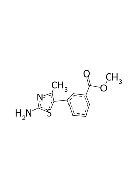 COC(=O)c1cccc(-c2sc(N)nc2C)c1